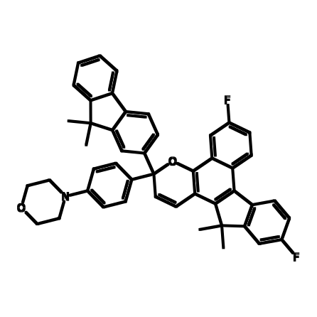 CC1(C)c2ccccc2-c2ccc(C3(c4ccc(N5CCOCC5)cc4)C=Cc4c5c(c6ccc(F)cc6c4O3)-c3ccc(F)cc3C5(C)C)cc21